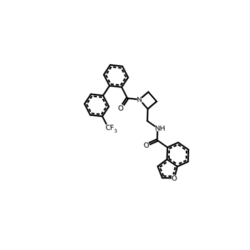 O=C(NCC1CCN1C(=O)c1ccccc1-c1cccc(C(F)(F)F)c1)c1cccc2occc12